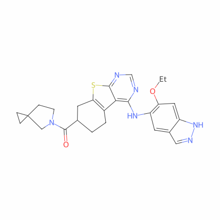 CCOc1cc2[nH]ncc2cc1Nc1ncnc2sc3c(c12)CCC(C(=O)N1CCC2(CC2)C1)C3